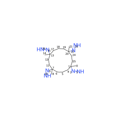 CC1(N=N)CCCC(C)(N=N)CCC(C)(N=N)CCCC(C)(N=N)CC1